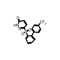 O=c1ccc(S(=O)(=O)c2ccccc2-c2ccc(C(F)(F)F)cc2)n[nH]1